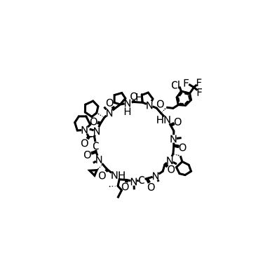 CC[C@H](C)[C@@H]1NC(=O)[C@H](C2CC2)N(C)C(=O)C[C@@H](C(=O)N2CCCCC2)N(C)C(=O)[C@H](C2CCCCC2)N(C)C(=O)C2(CCCC2)NC(=O)[C@@H]2CCCN2C(=O)[C@H](CCc2ccc(C(F)(F)F)c(Cl)c2)NC(=O)CN(C)C(=O)[C@H](CC2CCCCC2)N(C)C(=O)CN(C)C(=O)CN(C)C1=O